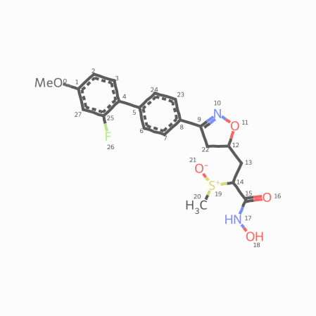 COc1ccc(-c2ccc(C3=NOC(CC(C(=O)NO)[S+](C)[O-])C3)cc2)c(F)c1